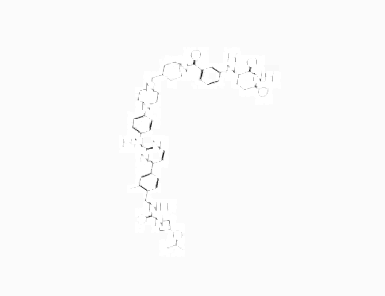 Cc1cc(-c2ccnc(Nc3ccc(N4CCN(CC5CCN(C(=O)c6cccc(NC7CCC(=O)NC7=O)c6)CC5)CC4)cc3)n2)ccc1CNC(=O)N1CC(OC(C)C)C1